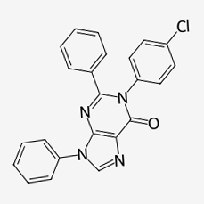 O=c1c2ncn(-c3ccccc3)c2nc(-c2ccccc2)n1-c1ccc(Cl)cc1